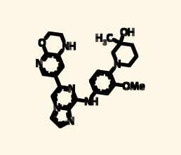 COc1cc(Nc2nc(-c3cnc4c(c3)NCCO4)cn3ccnc23)ccc1N1CCCC(C)(O)C1